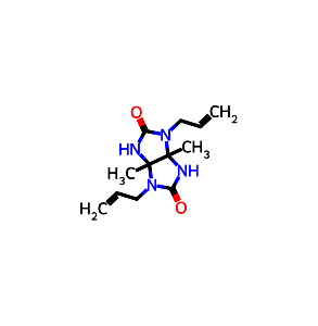 C=CCN1C(=O)NC2(C)N(CC=C)C(=O)NC12C